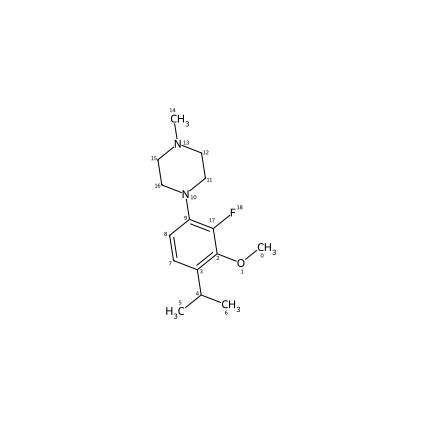 COc1c(C(C)C)ccc(N2CCN(C)CC2)c1F